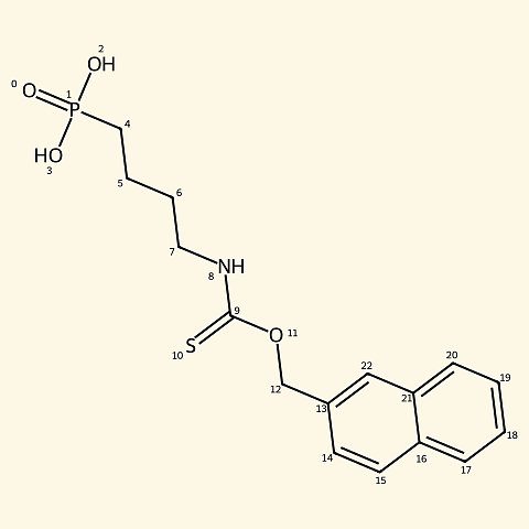 O=P(O)(O)CCCCNC(=S)OCc1ccc2ccccc2c1